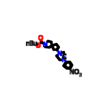 CCCCOC(=O)N1CCC2(CCC(N3CCN(c4ccc([N+](=O)[O-])cc4)CC3)C2)CC1